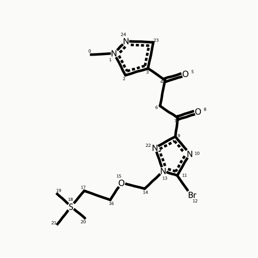 Cn1cc(C(=O)CC(=O)c2nc(Br)n(COCCS(C)(C)C)n2)cn1